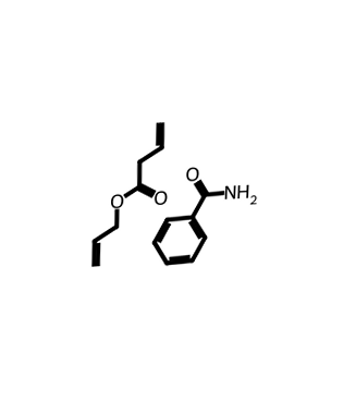 C=CCOC(=O)CC=C.NC(=O)c1ccccc1